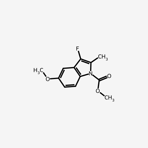 COC(=O)n1c(C)c(F)c2cc(OC)ccc21